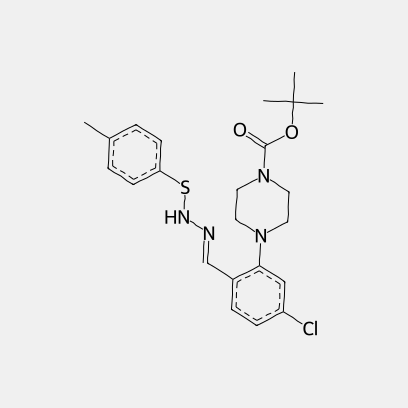 Cc1ccc(SN/N=C/c2ccc(Cl)cc2N2CCN(C(=O)OC(C)(C)C)CC2)cc1